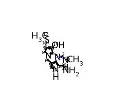 CN/C=N\c1c(CN2C[C@H](CSC)[C@@H](O)C2)c[nH]c1CN